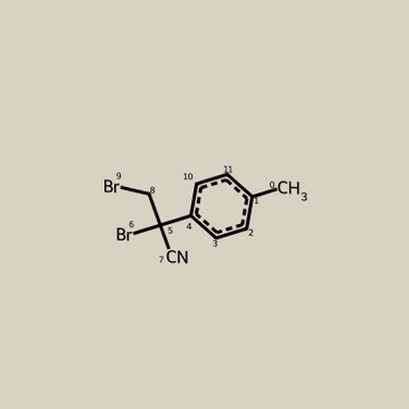 Cc1ccc(C(Br)(C#N)CBr)cc1